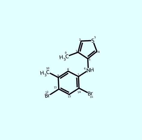 Cc1cs[c]c1Nc1cc(C)c(Br)cc1Br